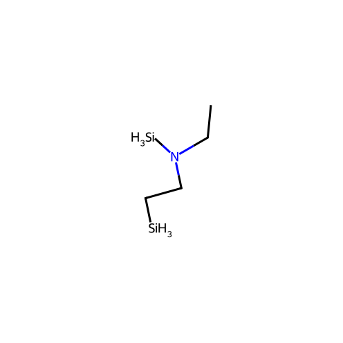 CCN([SiH3])CC[SiH3]